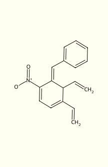 C=CC1=CC=C([N+](=O)[O-])C(=Cc2ccccc2)C1C=C